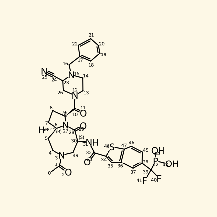 CC(=O)N1CC[C@H]2CC[C@@H](C(=O)N3CCN(Cc4ccccc4)C(C#N)C3)N2C(=O)[C@@H](NC(=O)c2cc3cc(C(F)(F)P(O)O)ccc3s2)C1